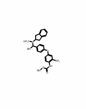 CC(C)(C)OC(=O)Nc1ccc(Oc2ccc(C(N(C(=O)O)C3Cc4ccccc4C3)C(C)(C)C)cc2)cc1[N+](=O)[O-]